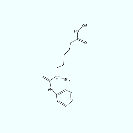 C=C(Nc1ccccc1)[C@@H](N)CCCCCC(=O)NO